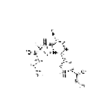 CCNC(=O)c1cc(-c2ncc(F)c(NC(C)(C)C(=O)NCC(F)(F)F)n2)c[nH]1